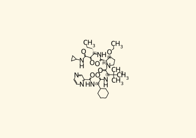 CCC[C@H](NC(=O)[C@H]1[C@H](OCC)CCN1C(=O)[C@@H](NC(=O)[C@@H](NC(=O)c1cnccn1)C1CCCCC1)C(C)(C)C)C(=O)C(=O)NC1CC1